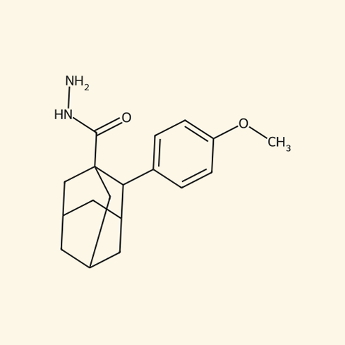 COc1ccc(C2C3CC4CC(C3)CC2(C(=O)NN)C4)cc1